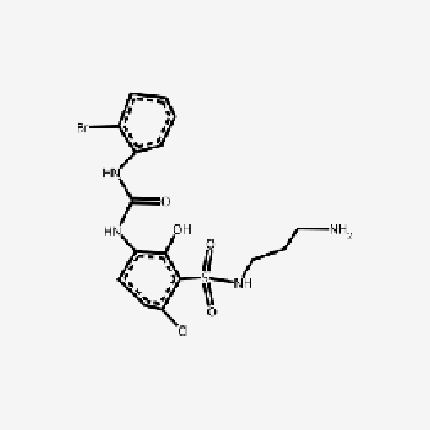 NCCCNS(=O)(=O)c1c(Cl)ccc(NC(=O)Nc2ccccc2Br)c1O